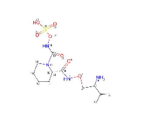 CC(C)C(N)CONC(=O)[C@@H]1CCCCN1C(=O)NOS(=O)(=O)O